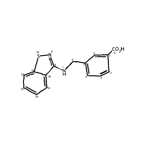 O=C(O)c1cccc(CNc2nsc3ccccc23)c1